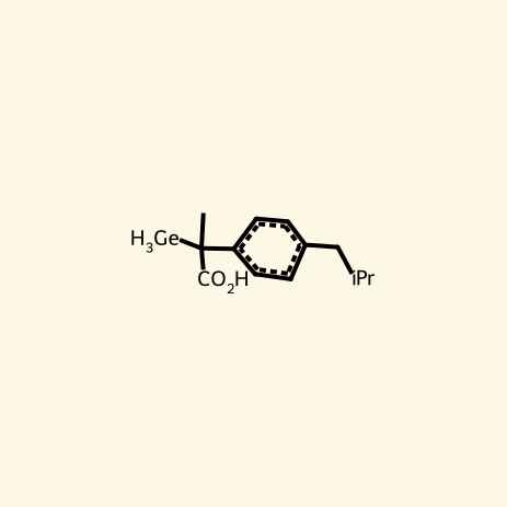 CC(C)Cc1ccc([C](C)([GeH3])C(=O)O)cc1